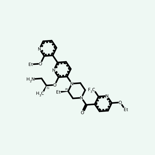 CCOc1ccc(C(=O)N2CCN(c3ccc(-c4cccnc4OCC)nc3O[C@@H](C)CN)[C@H](CC)C2)c(C(F)(F)F)n1